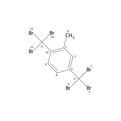 Cc1cc(C(Br)(Br)Br)ccc1C(Br)(Br)Br